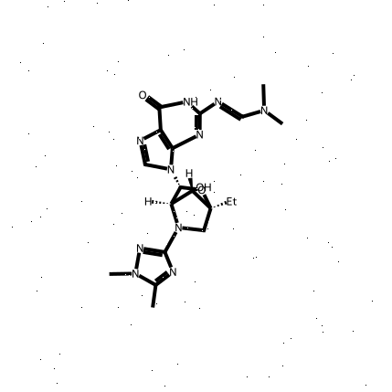 CC[C@@]12CN(c3nc(C)n(C)n3)[C@@H]([C@H](n3cnc4c(=O)[nH]c(N=CN(C)C)nc43)O1)[C@@H]2O